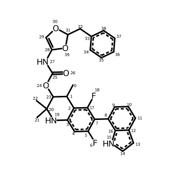 CC1c2c(cc(F)c(-c3cccc4cc[nH]c34)c2F)NC(C)(C)C1OC(=O)NC1=COC(Cc2ccccc2)O1